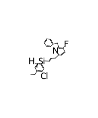 CCc1ccc([SiH2]C=CCc2ccc(F)c(Cc3ccccc3)n2)cc1Cl